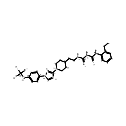 CCc1ccccc1NC(=S)NC(=O)NCCC1CCN(c2ncn(-c3ccc(OC(F)(F)F)cc3)n2)CC1